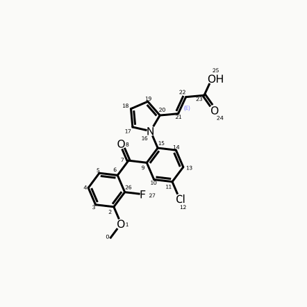 COc1cccc(C(=O)c2cc(Cl)ccc2-n2cccc2/C=C/C(=O)O)c1F